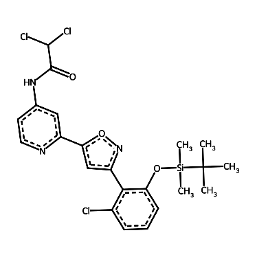 CC(C)(C)[Si](C)(C)Oc1cccc(Cl)c1-c1cc(-c2cc(NC(=O)C(Cl)Cl)ccn2)on1